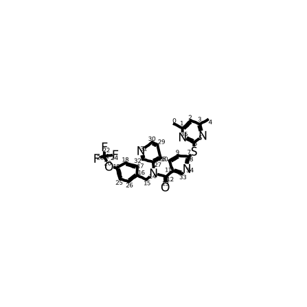 Cc1cc(C)nc(Sc2ccc(C(=O)N(Cc3ccc(OC(F)(F)F)cc3)c3cccnc3)cn2)n1